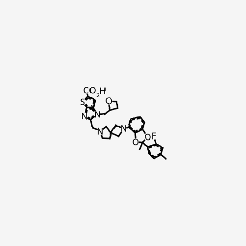 Cc1ccc(C2(C)Oc3cccc(N4CC5(CCN(Cc6nc7sc(C(=O)O)cc7n6CC6CCO6)C5)C4)c3O2)c(F)c1